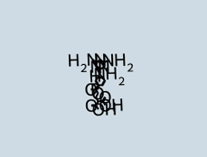 Nc1nc(N)nc(N)n1.O=C(O)C(CO[PH](=O)c1ccccc1)C(=O)O